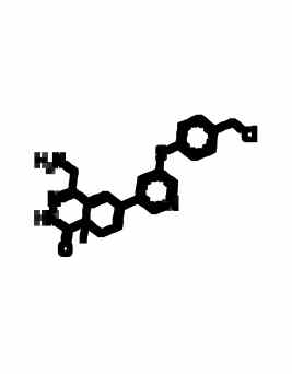 CC12CC=C(c3cncc(Sc4ccc(CCl)cc4)c3)C=C1C(CN)=NNC2=O